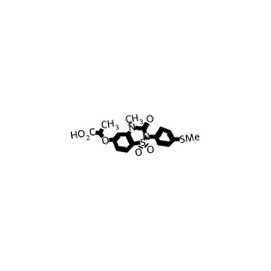 CSc1ccc(N2C(=O)N(C)c3cc(OC(C)C(=O)O)ccc3S2(=O)=O)cc1